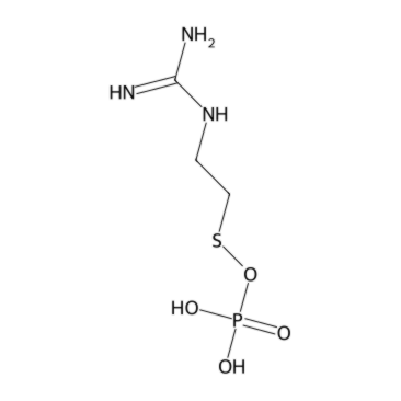 N=C(N)NCCSOP(=O)(O)O